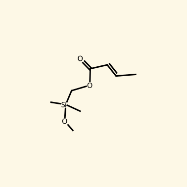 CC=CC(=O)OC[Si](C)(C)OC